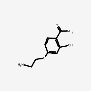 NCCOc1ccc(C(N)=O)c(O)c1